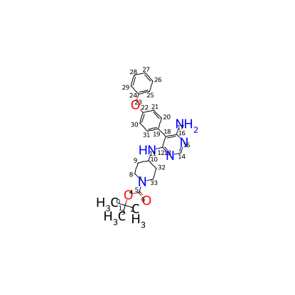 CC(C)(C)OC(=O)N1CCC(Nc2ncnc(N)c2-c2ccc(Oc3ccccc3)cc2)CC1